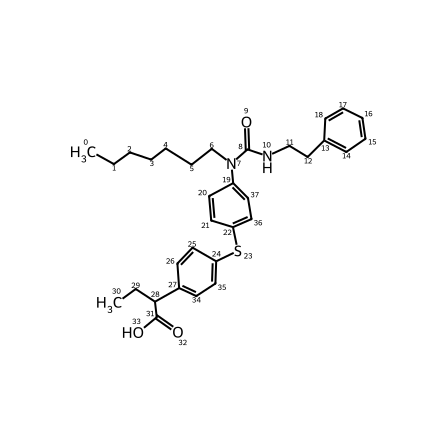 CCCCCCCN(C(=O)NCCc1ccccc1)c1ccc(Sc2ccc(C(CC)C(=O)O)cc2)cc1